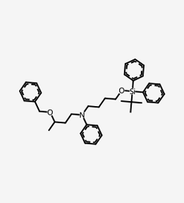 CC(CCN(CCCCO[Si](c1ccccc1)(c1ccccc1)C(C)(C)C)c1ccccc1)OCc1ccccc1